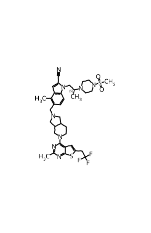 Cc1nc(N2CCC3CN(Cc4ccc5c(cc(C#N)n5C[C@H](C)N5CCN(S(C)(=O)=O)CC5)c4C)CC3C2)c2cc(CC(F)(F)F)sc2n1